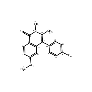 COc1ccc2c(=O)n(C)c(C)c(-c3ccc(F)cc3)c2c1